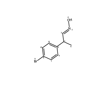 CC(C=NO)c1ccc(Br)cc1